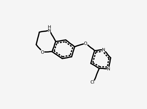 Clc1cc(Oc2ccc3c(c2)NCCO3)ncn1